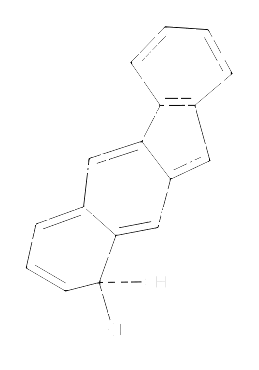 CC1(C)C=CC=c2cc3c(cc21)=Cc1ccc[c]c1-3